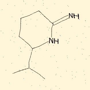 CC(C)C1CCCC(=N)N1